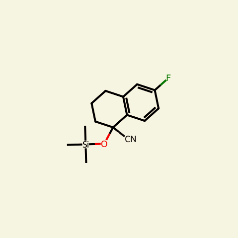 C[Si](C)(C)OC1(C#N)CCCc2cc(F)ccc21